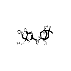 C[C@@]1(CC(F)(F)F)SC(N[C@H]2C[C@H]3C[C@@H]2CC3(F)F)=NC1=O